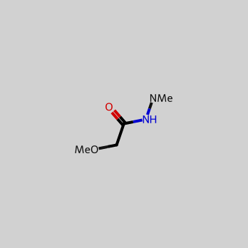 CNNC(=O)COC